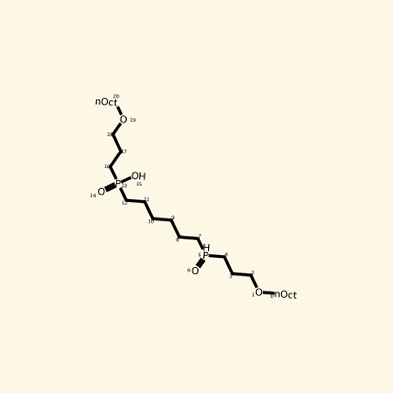 CCCCCCCCOCCC[PH](=O)CCCCCCP(=O)(O)CCCOCCCCCCCC